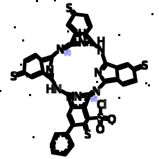 O=S(=O)(Cl)C1=c2c(c3[nH]/c2=N\C2=C4C=CC(=S)C=C4C(=N2)Nc2[nH]/c(c4c2C=CC(=S)C=4)=N\C2=C4C=CC(=S)C=C4C(=N2)N3)C=C(c2ccccc2)C1=S